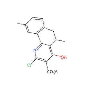 Cc1ccc2c(c1)-c1nc(Cl)c(C(=O)O)c(O)c1C(C)C2